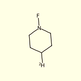 [2H]C1CCN(F)CC1